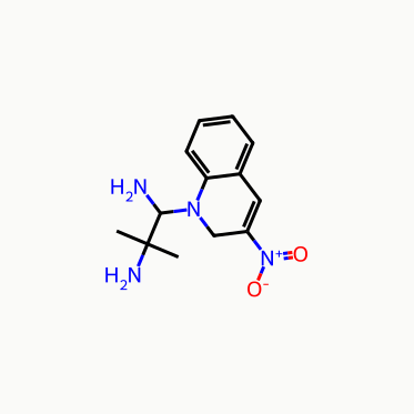 CC(C)(N)C(N)N1CC([N+](=O)[O-])=Cc2ccccc21